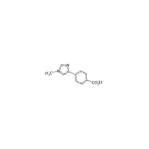 CCOC(=O)c1ccc(-c2cn(C)cn2)cc1